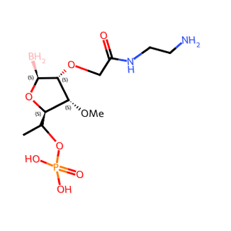 B[C@@H]1O[C@H](C(C)OP(=O)(O)O)[C@@H](OC)[C@H]1OCC(=O)NCCN